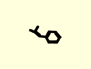 CC(C)=Cc1cc[c]cc1